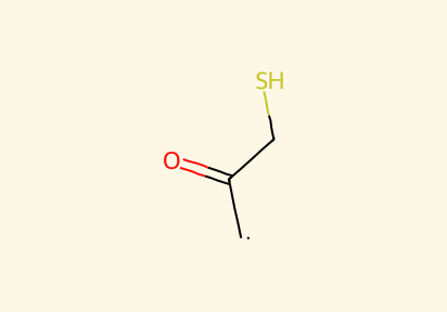 [CH2]C(=O)CS